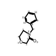 O=C1COCCN1Cc1cc[c]cc1